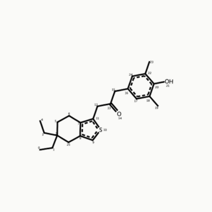 CCC1(CC)CCc2c(csc2CC(=O)Cc2cc(C)c(O)c(C)c2)C1